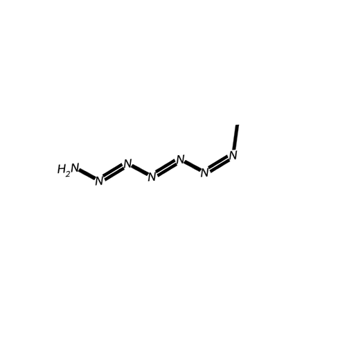 C\N=N/N=N/N=N/N